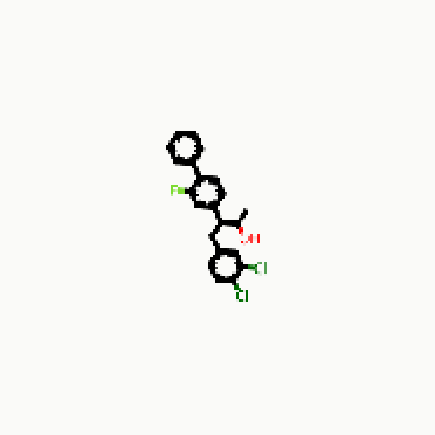 CC(O)C(Cc1ccc(Cl)c(Cl)c1)c1ccc(-c2ccccc2)c(F)c1